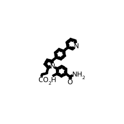 Cc1cc(C(N)=O)ccc1-n1c(CCC(=O)O)ccc1-c1ccc(-c2cccnc2)cc1